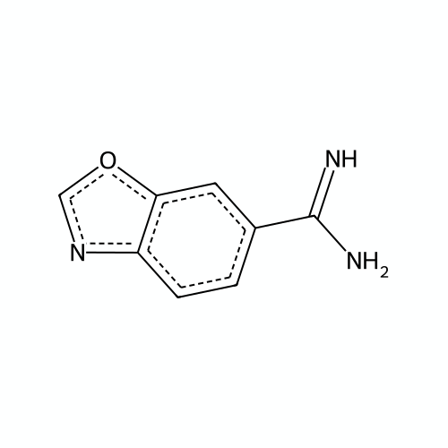 N=C(N)c1ccc2ncoc2c1